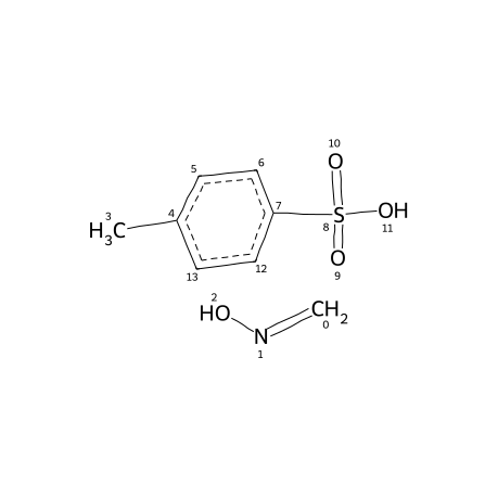 C=NO.Cc1ccc(S(=O)(=O)O)cc1